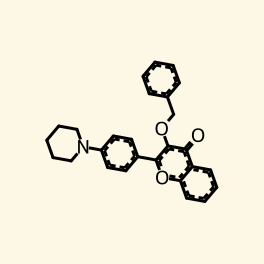 O=c1c(OCc2ccccc2)c(-c2ccc(N3CCCCC3)cc2)oc2ccccc12